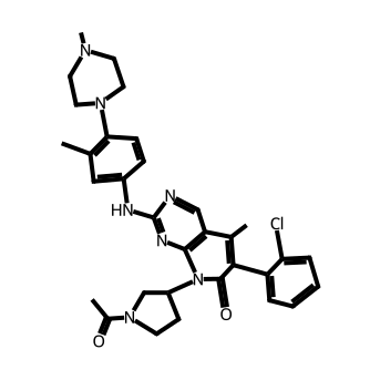 CC(=O)N1CCC(n2c(=O)c(-c3ccccc3Cl)c(C)c3cnc(Nc4ccc(N5CCN(C)CC5)c(C)c4)nc32)C1